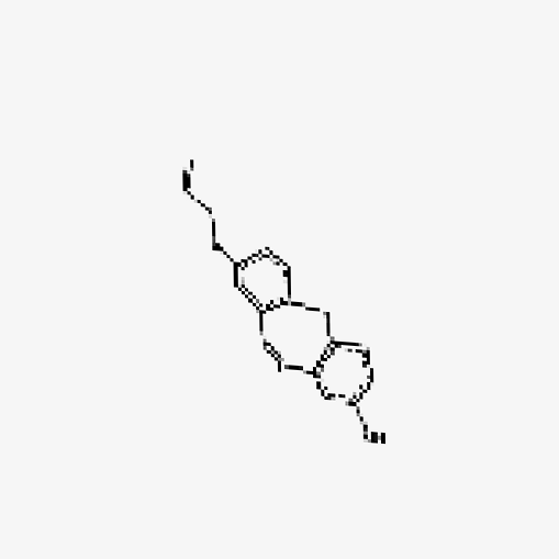 C=CCSc1ccc2c(c1)C=Pc1cc(O)ccc1S2